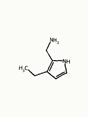 CCc1cc[nH]c1CN